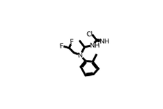 Cc1ccccc1N(CC(F)F)C(C)NC(=N)Cl